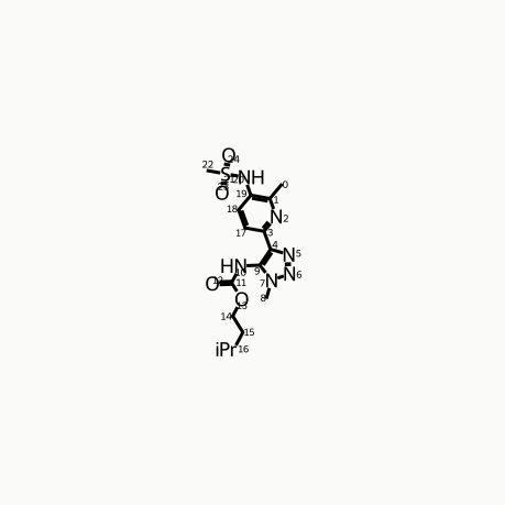 Cc1nc(-c2nnn(C)c2NC(=O)OCCC(C)C)ccc1NS(C)(=O)=O